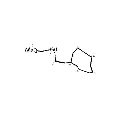 CONCC1CCCC1